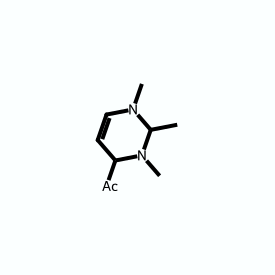 CC(=O)C1C=CN(C)C(C)N1C